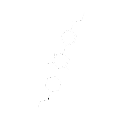 CCC[C@H]1CC[C@H](c2c(Cl)nc(-c3ccc(OCC)cc3)nc2Cl)CC1